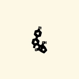 CCc1ccc(-c2ccc(C)c(C3=C(O)C4CCC(C4)C3=O)c2)cc1